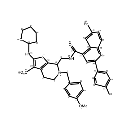 COc1ccc(CN2CCc3c(sc(NC4CCCCO4)c3C(=O)O)C2CNC(=O)c2cc(-c3ccc(C)cc3)nc3ccc(Br)cc23)cc1